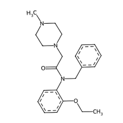 CCOc1ccccc1N(Cc1ccccc1)C(=O)CN1CCN(C)CC1